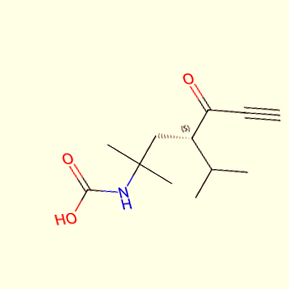 C#CC(=O)[C@@H](CC(C)(C)NC(=O)O)C(C)C